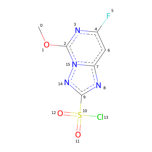 COc1nc(F)cc2nc(S(=O)(=O)Cl)nn12